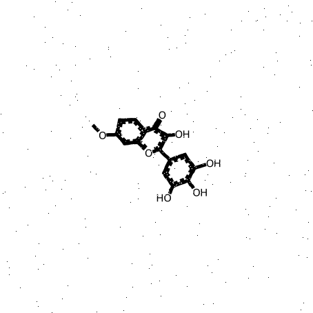 COc1ccc2c(=O)c(O)c(-c3cc(O)c(O)c(O)c3)oc2c1